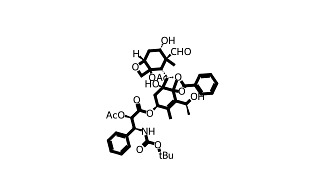 CC(=O)O[C@@H](C(=O)O[C@H]1C[C@@](O)([C@@H](OC(=O)c2ccccc2)[C@H]2[C@](C)(C=O)[C@@H](O)C[C@H]3OC[C@]32OC(C)=O)C(C)(C)C([C@H](C)O)=C1C)[C@@H](NC(=O)OC(C)(C)C)c1ccccc1